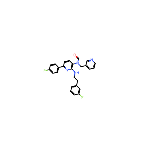 O=CN(Cc1cccnc1)c1ccc(-c2ccc(F)cc2)nc1NCCc1cccc(F)c1